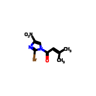 CC(C)=CC(=O)n1cc([N+](=O)[O-])nc1Br